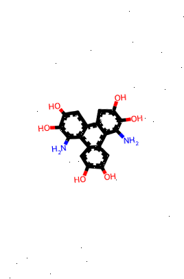 Nc1c(O)c(O)cc2c3cc(O)c(O)c(N)c3c3cc(O)c(O)cc3c12